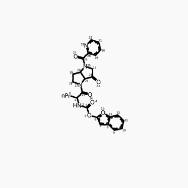 CCCC(NC(=O)Oc1cc2ccccc2o1)C(=O)N1CCC2C1C(=O)CN2C(=O)c1ccccn1